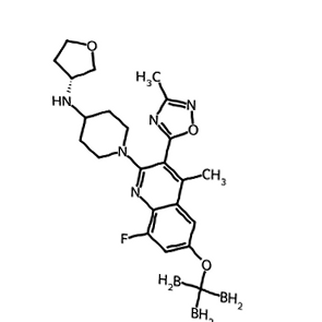 BC(B)(B)Oc1cc(F)c2nc(N3CCC(N[C@@H]4CCOC4)CC3)c(-c3nc(C)no3)c(C)c2c1